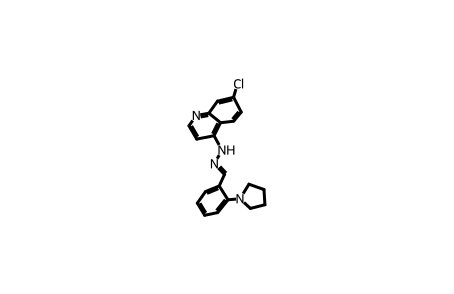 Clc1ccc2c(NN=Cc3ccccc3N3CCCC3)ccnc2c1